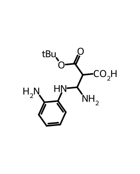 CC(C)(C)OC(=O)C(C(=O)O)C(N)Nc1ccccc1N